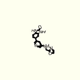 O=c1[nH]c2ccc(-c3cncc(NCc4ncco4)c3)cc2[nH]1